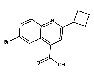 O=C(O)c1cc(C2CCC2)nc2ccc(Br)cc12